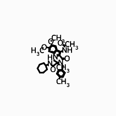 COc1cc2c(NC(C)=O)c3n(c2cc1OC)CC(C)(C(=O)NC1CCCCCC1)N(Cc1ccc(C)cc1)C3=O